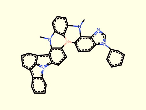 CN1c2cccc3c2B(c2ccc4c(ncn4-c4ccccc4)c21)c1ccc2c(c1N3C)c1cccc3c4ccccc4n2c31